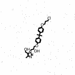 Cc1nnn(C[C@@H](O)COc2ccc(C(C)(C)c3ccc(OCCCCl)cc3)cc2)c1CO